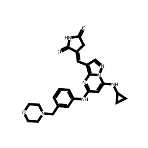 O=C1C/C(=C\c2cnn3c(NC4CC4)cc(Nc4cccc(CN5CCOCC5)c4)nc23)C(=O)N1